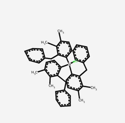 Cc1ccc([Si](Cl)(c2ccc(C)c(C)c2Cc2ccccc2)c2ccc(C)c(C)c2Cc2ccccc2)c(Cc2ccccc2)c1C